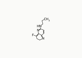 CCCNc1ccc2c(n1)=C(F)CCN=2